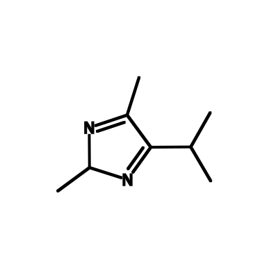 CC1=NC(C)N=C1C(C)C